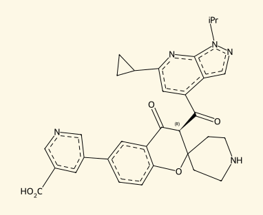 CC(C)n1ncc2c(C(=O)[C@@H]3C(=O)c4cc(-c5cncc(C(=O)O)c5)ccc4OC34CCNCC4)cc(C3CC3)nc21